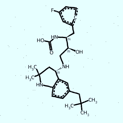 CC(C)(C)Cc1ccc2c(c1)[C@@H](NC[C@H](O)[C@H](Cc1cccc(F)c1)NC(=O)O)CC(C)(C)N2